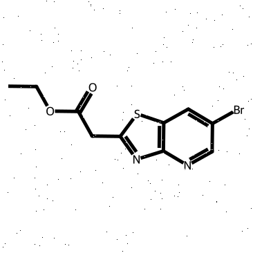 CCOC(=O)Cc1nc2ncc(Br)cc2s1